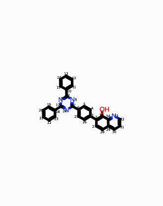 Oc1c(-c2ccc(-c3nc(-c4ccccc4)nc(-c4ccccc4)n3)cc2)ccc2cccnc12